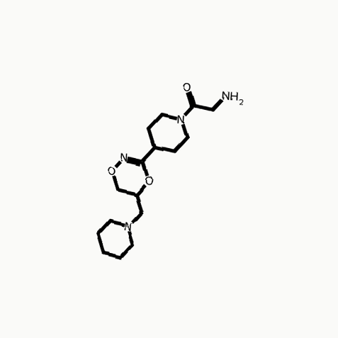 NCC(=O)N1CCC(C2=NOCC(CN3CCCCC3)O2)CC1